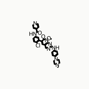 COn1c(=O)c(-c2cc(NC(=O)c3ccncc3)ccc2Cl)cc2cnc(Nc3ccc(N4CCN(C)CC4)cc3)nc21